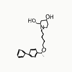 C[C@@H](OCCCCCN1CCC(O)CC1CO)c1ccc(-c2ccccc2)cc1